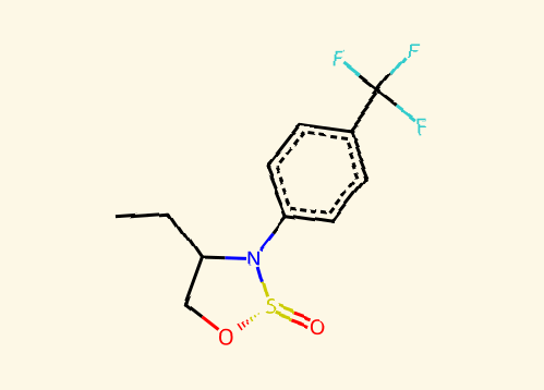 CCC1CO[S@@](=O)N1c1ccc(C(F)(F)F)cc1